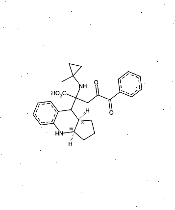 CC1(NC(CC(=O)C(=O)c2ccccc2)(C(=O)O)C2c3ccccc3N[C@@H]3CCC[C@H]23)CC1